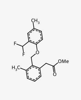 COC(=O)Cc1cccc(C)c1COc1ccc(C)cc1C(F)F